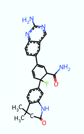 CC1(C)CC(=O)Nc2cc(C3(F)C=CC(c4ccc5nc(N)ncc5c4)=CC3C(N)=O)ccc21